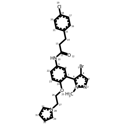 Cn1ncc(Br)c1-c1cc(NC(=O)CCc2ccc(Cl)cc2)ccc1OCCn1[c]ccc1